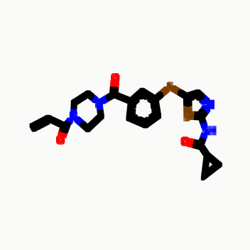 C=CC(=O)N1CCN(C(=O)c2cccc(Sc3cnc(NC(=O)C4CC4)s3)c2)CC1